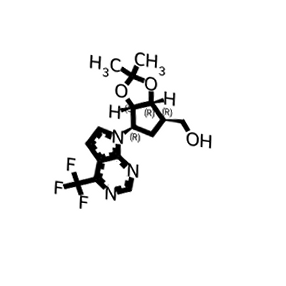 CC1(C)O[C@@H]2[C@@H](CO)C[C@@H](n3ccc4c(C(F)(F)F)ncnc43)[C@@H]2O1